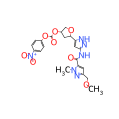 COCc1cc(C(=O)Nc2cc(C3CC(OC(=O)Oc4ccc([N+](=O)[O-])cc4)CO3)[nH]n2)n(C)n1